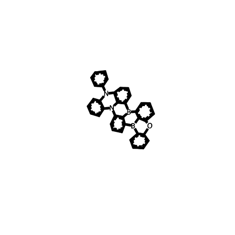 c1ccc(N2c3ccccc3N3c4cccc5c4B(c4cccc6c4B5c4ccccc4O6)c4cccc2c43)cc1